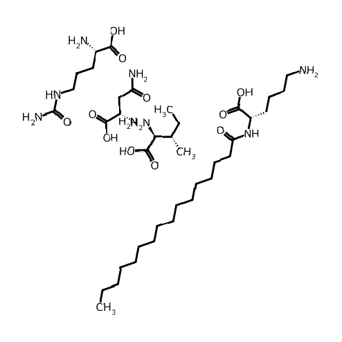 CCCCCCCCCCCCCCCC(=O)N[C@@H](CCCCN)C(=O)O.CC[C@H](C)[C@H](N)C(=O)O.NC(=O)C[C@H](N)C(=O)O.NC(=O)NCCC[C@H](N)C(=O)O